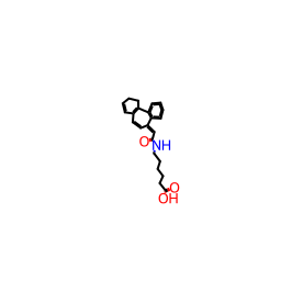 O=C(O)CCCCCNC(=O)C=C1C=CC2=C(CCC=C2)c2ccccc21